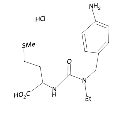 CCN(Cc1ccc(N)cc1)C(=O)NC(CCSC)C(=O)O.Cl